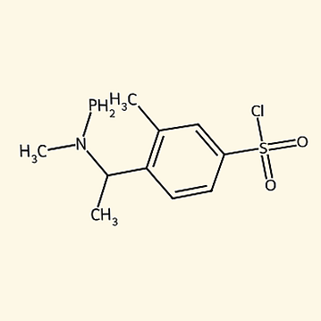 Cc1cc(S(=O)(=O)Cl)ccc1C(C)N(C)P